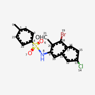 Cc1ccc(S(=O)(=O)Nc2cc3cc(Cl)ccc3c(Br)c2C=O)cc1